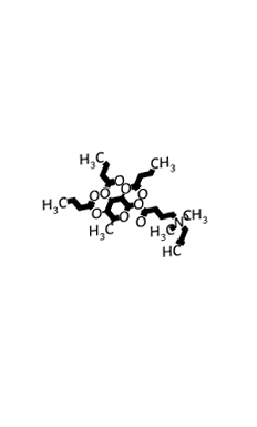 C#CC[N+](C)(C)CCCC(=O)OC1O[C@@H](C)[C@H](OC(=O)CCC)[C@@H](OC(=O)CCC)[C@H]1OC(=O)CCC